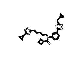 O=C(C1CCC1)N(CCCCCc1nc(C2CC2)no1)c1cccc(-c2nc(CC3CC3)no2)c1